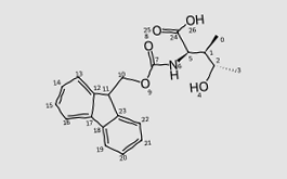 C[C@@H]([C@H](C)O)[C@@H](NC(=O)OCC1c2ccccc2-c2ccccc21)C(=O)O